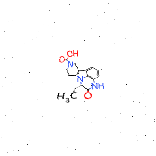 CCC1C(=O)Nc2cccc3c4c(n1c23)CCN(C(=O)O)C4